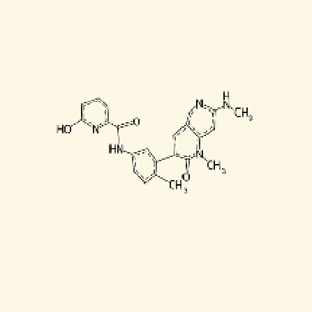 CNc1cc2c(cn1)cc(-c1cc(NC(=O)c3cccc(O)n3)ccc1C)c(=O)n2C